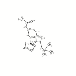 CCC(CC)[C@@H]1C[C@H](OC(C)=O)CC[C@]1(C)C(C)CCC(C)(C)C